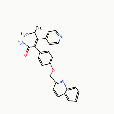 CC(C)C(=C(C(N)=O)c1ccc(OCc2ccc3ccccc3n2)cc1)c1ccncc1